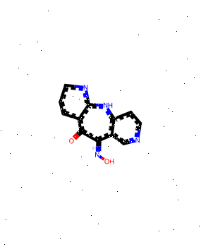 O=c1/c(=N/O)c2cnccc2[nH]c2ncccc12